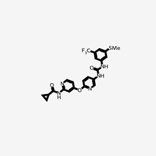 CSc1cc(NC(=O)Nc2ccc(Oc3ccnc(NC(=O)C4CC4)c3)nc2)cc(C(F)(F)F)c1